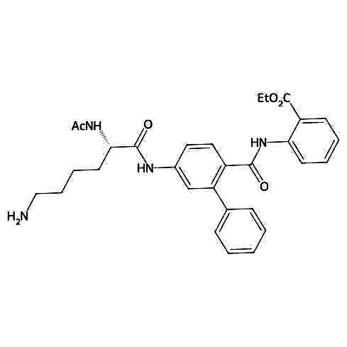 CCOC(=O)c1ccccc1NC(=O)c1ccc(NC(=O)[C@H](CCCCN)NC(C)=O)cc1-c1ccccc1